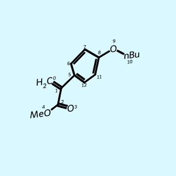 C=C(C(=O)OC)c1ccc(OCCCC)cc1